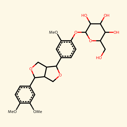 COc1ccc(C2OCC3C(c4ccc(OC5OC(CO)C(O)C(O)C5O)c(OC)c4)OCC23)cc1OC